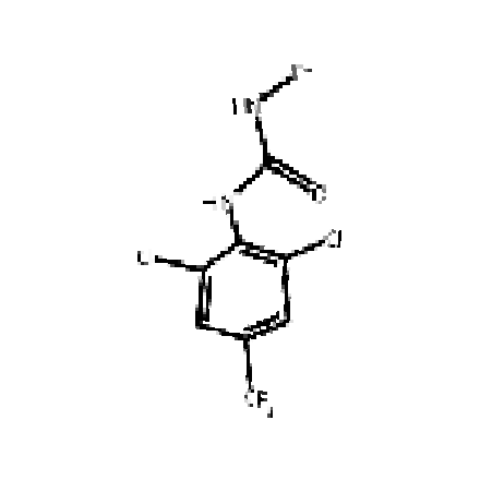 CCNC(=O)Nc1c(Cl)cc(C(F)(F)F)cc1Cl